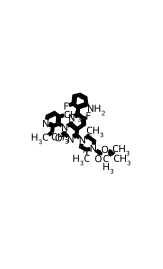 Cc1ccnc(C(C)C)c1-n1c(=O)nc(N2C[C@@H](C)N(C(=O)OC(C)(C)C)C[C@@H]2C)c2cc(F)c(-c3c(N)cccc3F)nc21